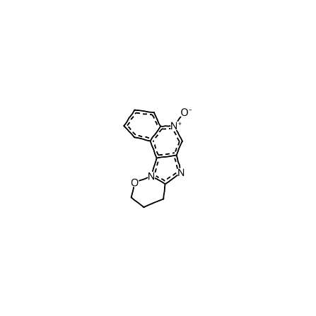 [O-][n+]1cc2nc3n(c2c2ccccc21)OCCC3